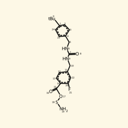 CC(C)(C)c1ccc(CNC(=O)NCc2ccc(C(=O)OSN)c(F)c2)cc1